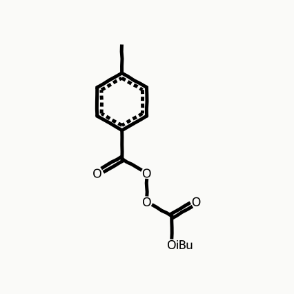 Cc1ccc(C(=O)OOC(=O)OCC(C)C)cc1